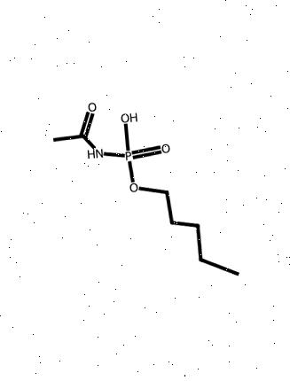 CCCCCOP(=O)(O)NC(C)=O